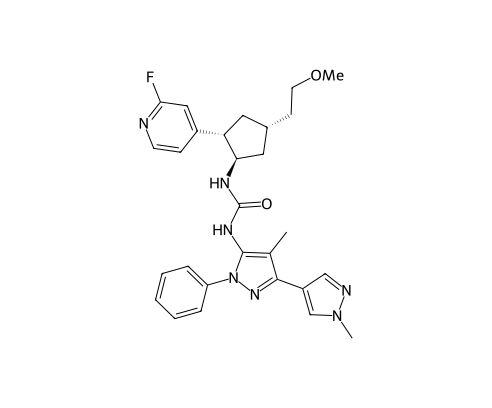 COCC[C@@H]1C[C@@H](NC(=O)Nc2c(C)c(-c3cnn(C)c3)nn2-c2ccccc2)[C@H](c2ccnc(F)c2)C1